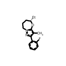 CC[C@H]1CCCn2nc(-c3ccccc3F)c(C)c2O1